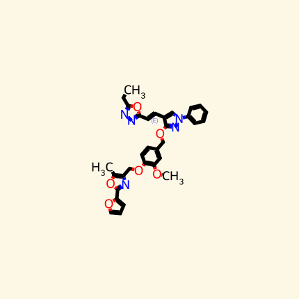 CCc1nnc(/C=C/c2cn(-c3ccccc3)nc2OCc2ccc(OCc3nc(-c4ccco4)oc3C)c(OC)c2)o1